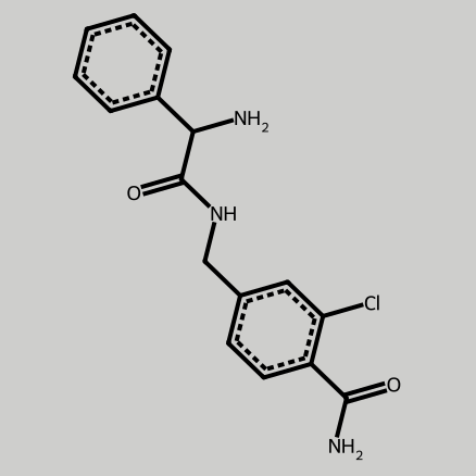 NC(=O)c1ccc(CNC(=O)C(N)c2ccccc2)cc1Cl